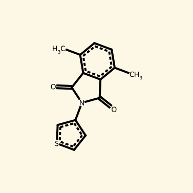 Cc1ccc(C)c2c1C(=O)N(c1ccsc1)C2=O